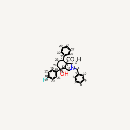 O=C(O)C12CN(Cc3ccccc3)CC1C(O)(c1ccc(F)cc1)CCC2c1ccccc1